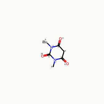 CCC(C)N1C(=O)CC(=O)N(C)C1=O